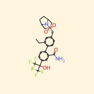 CCc1cc(CN2CC3CCC(C2)N3S(C)(=O)=O)ccc1-c1ccc(C(O)(C(F)(F)F)C(F)(F)F)cc1C(N)=O